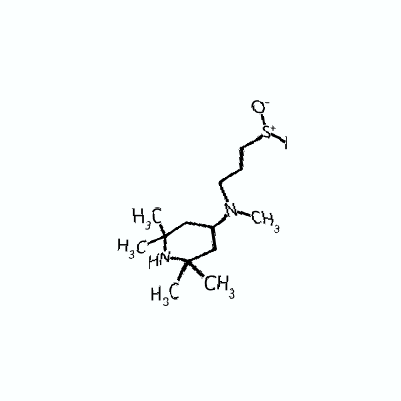 CN(CCC[S+]([O-])I)C1CC(C)(C)NC(C)(C)C1